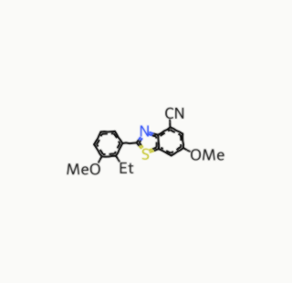 CCc1c(OC)cccc1-c1nc2c(C#N)cc(OC)cc2s1